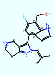 CC(C)=Cn1nc2c(c1-c1cc(F)c(CO)c3[nH]ccc13)CNCC2